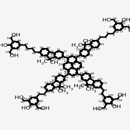 CC1(C)c2cc(CCCCc3cc(CO)c(O)c(CO)c3)ccc2-c2ccc(-c3cc(-c4ccc5c(c4)C(C)(C)c4cc(CCCCc6cc(CO)c(O)c(CO)c6)ccc4-5)c4ccc5c(-c6ccc7c(c6)C(C)(C)c6cc(CCc8cc(CO)c(O)c(CO)c8)ccc6-7)cc(-c6ccc7c(c6)C(C)(C)c6cc(CCc8cc(CO)c(O)c(CO)c8)ccc6-7)c6ccc3c4c65)cc21